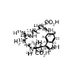 [15NH]=[13C]([15NH2])[15NH][13CH2][13CH2][13CH2][13C@H]([15NH2])[13C](=O)O.[2H]N([2H])[C@]([2H])(C(=O)O)C([2H])([2H])c1c[nH]c2ccccc12